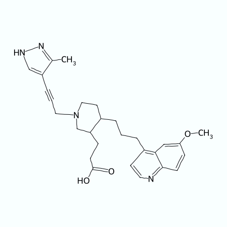 COc1ccc2nccc(CCCC3CCN(CC#Cc4c[nH]nc4C)CC3CCC(=O)O)c2c1